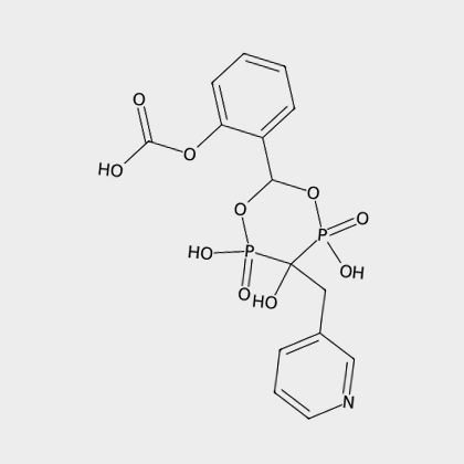 O=C(O)Oc1ccccc1C1OP(=O)(O)C(O)(Cc2cccnc2)P(=O)(O)O1